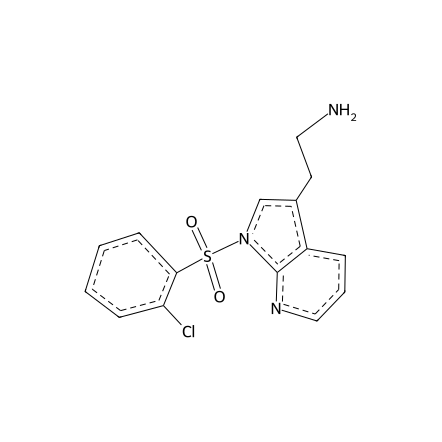 NCCc1cn(S(=O)(=O)c2ccccc2Cl)c2ncccc12